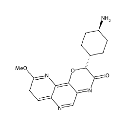 COC1=Nc2c3c(cnc2=CC1)=NC(=O)C([C@H]1CC[C@H](N)CC1)O3